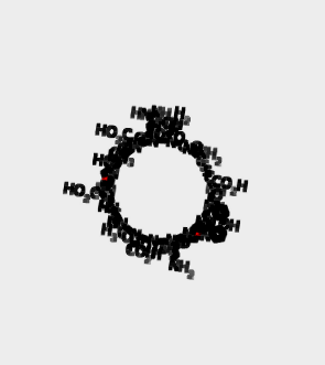 C[C@@H]1NC(=O)CNC(=O)[C@H](CCC(=O)O)NC(=O)[C@@H]2CCCN2C(=O)[C@H]([C@@H](C)O)NC(=O)[C@H](CCC(=O)O)NC(=O)[C@H](CCCNC(=N)N)NC(=O)[C@H](CCC(N)=O)NC(=O)CNC(=O)[C@@H](N)CSSC[C@@H](C(=O)O)NC(=O)[C@H](Cc2ccc(O)cc2)NC(=O)[C@H](Cc2c[nH]c3ccccc23)NC(=O)[C@@H]2CCCN2C(=O)[C@H](CCCCN)NC(=O)[C@H](C)NC(=O)[C@H](CCC(=O)O)NC1=O